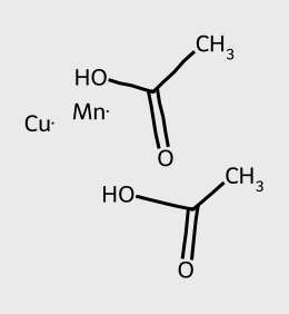 CC(=O)O.CC(=O)O.[Cu].[Mn]